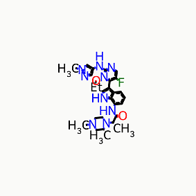 CCOc1nn(C)cc1Nc1ncc(F)c(-c2c[nH]c3c(NC(=O)C(C)N4CCN(C)C[C@H]4C)cccc23)n1